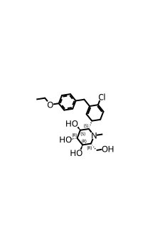 CCOc1ccc(CC2=CC([C@H]3[C@H](O)[C@@H](O)[C@H](O)[C@@H](CO)N3C)CC=C2Cl)cc1